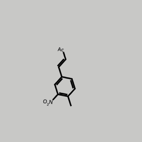 CC(=O)/C=C/c1ccc(C)c([N+](=O)[O-])c1